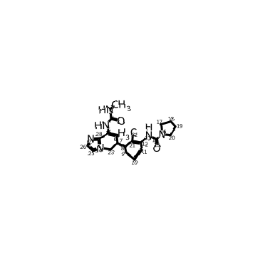 CNC(=O)NC1=CC(C2CC=CC(NC(=O)N3CCCC3)=C2C)Cn2ccnc21